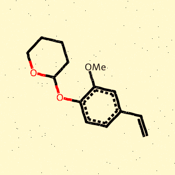 C=Cc1ccc(OC2CCCCO2)c(OC)c1